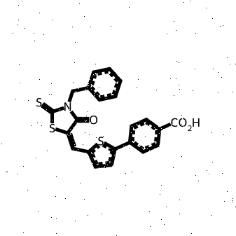 O=C(O)c1ccc(-c2ccc(C=C3SC(=S)N(Cc4ccccc4)C3=O)s2)cc1